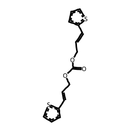 O=C(OCC=Cc1cccs1)OCC=Cc1cccs1